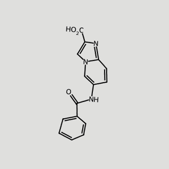 O=C(Nc1ccc2nc(C(=O)O)cn2c1)c1ccccc1